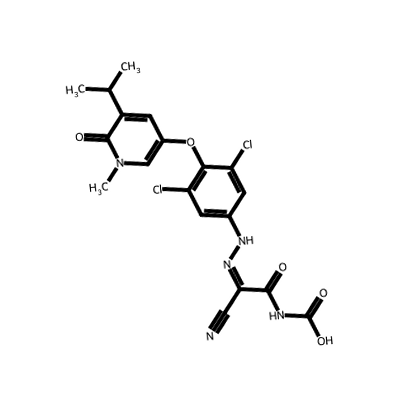 CC(C)c1cc(Oc2c(Cl)cc(NN=C(C#N)C(=O)NC(=O)O)cc2Cl)cn(C)c1=O